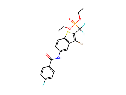 CCOP(=O)(OCC)C(F)(F)c1sc2ccc(NC(=O)c3ccc(F)cc3)cc2c1Br